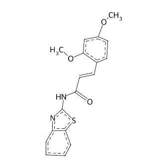 COc1ccc(/C=C/C(=O)Nc2nc3ccccc3s2)c(OC)c1